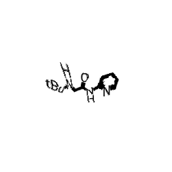 CC(C)(C)NCC(=O)Nc1ccccn1